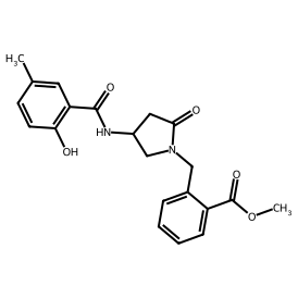 COC(=O)c1ccccc1CN1CC(NC(=O)c2cc(C)ccc2O)CC1=O